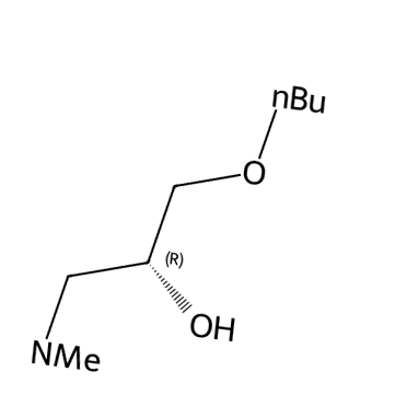 CCCCOC[C@H](O)CNC